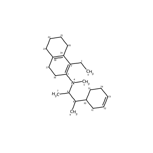 CCC1=C(N(C)C(C)C(C)C2CC=CCC2)CCC2=C1CCCC2